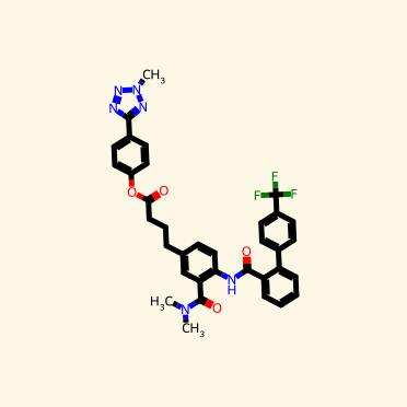 CN(C)C(=O)c1cc(CCCC(=O)Oc2ccc(-c3nnn(C)n3)cc2)ccc1NC(=O)c1ccccc1-c1ccc(C(F)(F)F)cc1